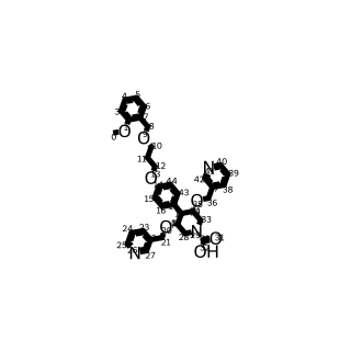 COc1ccccc1COCCCOc1ccc(C2[C@@H](OCc3cccnc3)CN(C(=O)O)C[C@H]2OCc2cccnc2)cc1